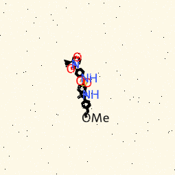 COCCc1ccc(-c2[nH]c3cc(S(=O)(=O)N[C@H]4CC[C@H](C(=O)N5CCOC[C@@H]5C5CC5)CC4)ccc3c2C)cc1